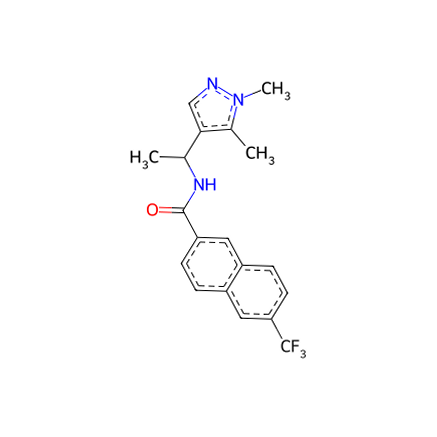 Cc1c(C(C)NC(=O)c2ccc3cc(C(F)(F)F)ccc3c2)cnn1C